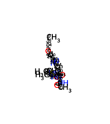 CCCCCCCOc1ccc(-c2cnc(-c3ccc(C[C@H](NC(=O)c4ccc(C(C)(C)C)s4)C(=O)NCCNC(C)=O)cc3)nc2)cc1